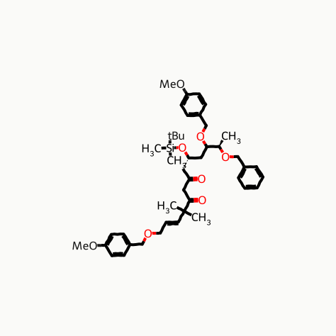 COc1ccc(COC/C=C/C(C)(C)C(=O)CC(=O)C[C@@H](CC(OCc2ccc(OC)cc2)[C@@H](C)OCc2ccccc2)O[Si](C)(C)C(C)(C)C)cc1